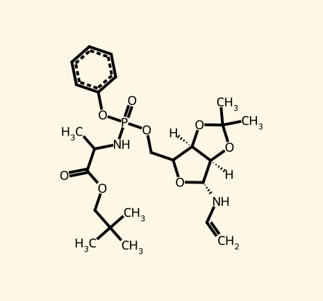 C=CN[C@@H]1OC(COP(=O)(NC(C)C(=O)OCC(C)(C)C)Oc2ccccc2)[C@H]2OC(C)(C)O[C@@H]12